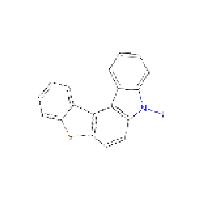 In1c2ccccc2c2c3c(ccc21)sc1ccccc13